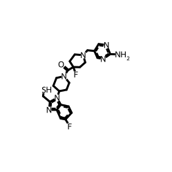 Nc1ncc(CN2CCC(F)(C(=O)N3CCC(n4c(CS)nc5cc(F)ccc54)CC3)CC2)cn1